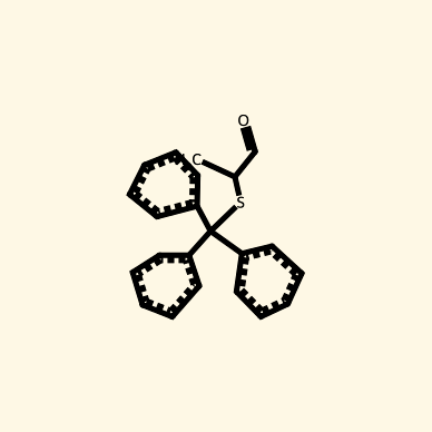 CC(C=O)SC(c1ccccc1)(c1ccccc1)c1ccccc1